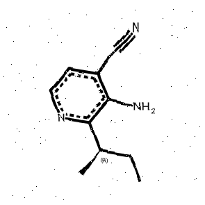 CC[C@@H](C)c1nccc(C#N)c1N